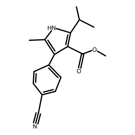 COC(=O)c1c(C(C)C)[nH]c(C)c1-c1ccc(C#N)cc1